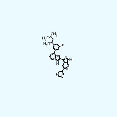 CN(C)CC(N)c1cc(F)cc(-c2cncc3[nH]c(-c4n[nH]c5cnc(-c6cncnc6)cc45)cc23)c1